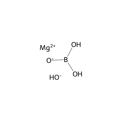 [Mg+2].[O-]B(O)O.[OH-]